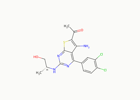 CC(=O)c1sc2nc(N[C@H](C)CO)nc(-c3ccc(Cl)c(Cl)c3)c2c1N